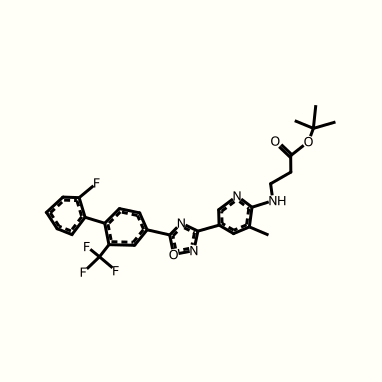 Cc1cc(-c2noc(-c3ccc(-c4ccccc4F)c(C(F)(F)F)c3)n2)cnc1NCCC(=O)OC(C)(C)C